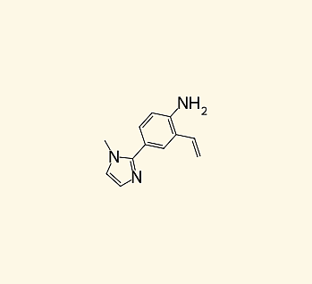 C=Cc1cc(-c2nccn2C)ccc1N